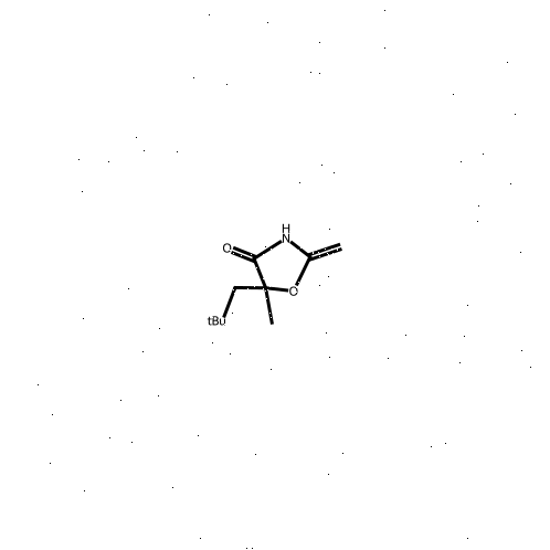 C=C1NC(=O)C(C)(CC(C)(C)C)O1